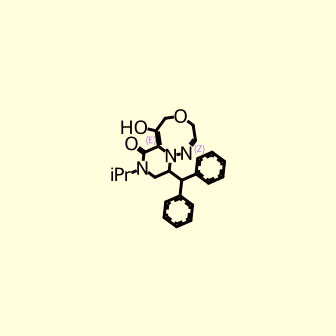 CC(C)N1CC(C(c2ccccc2)c2ccccc2)N2/N=C\COC/C(O)=C\2C1=O